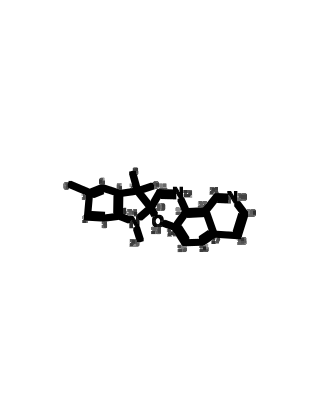 Cc1ccc2c(c1)C(C)(C)C1(C=Nc3c(ccc4ccncc34)O1)N2C